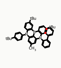 Cc1cc2c3c(c1)N(c1ccccc1-c1ccccc1)c1cc(C(C)(C)C)ccc1B3c1cc(C(C)(C)C)ccc1N2c1ccc(C(C)(C)C)cc1